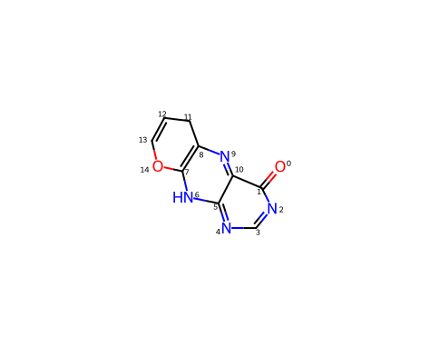 O=c1ncnc2[nH]c3c(nc1-2)CC=CO3